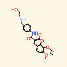 CC[C@@H](C)Oc1c(OC)ccc2cc(C(=O)Nc3ccc(CNCCO)cc3)c(=O)oc12